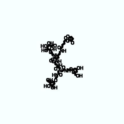 O=C=C(CNC(=O)CN(CC(=O)NCCOC1CC(O)CC(CO)O1)CC(=O)NCCO[C@@H]1CC(O)[C@H](O)C(CO)O1)NC(CCCCNC(=O)CCCCC(=O)ON1C(=O)CCC1=O)C(=O)NCCO[C@H]1OC(CO)[C@@H](O)C(O)C1O